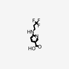 O=C(O)c1ccc(NCCC(F)(F)F)nc1